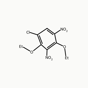 CCOc1c(Cl)cc([N+](=O)[O-])c(OCC)c1[N+](=O)[O-]